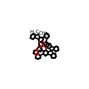 CC1(C)c2ccccc2-c2cc(N(c3ccccc3)c3ccc4c(c3)C3(c5ccccc5-4)c4ccccc4-c4cc(-c5ccccc5)c(N(c5ccccc5)c5ccccc5)c(-c5ccc(-c6ccccc6)cc5)c43)ccc21